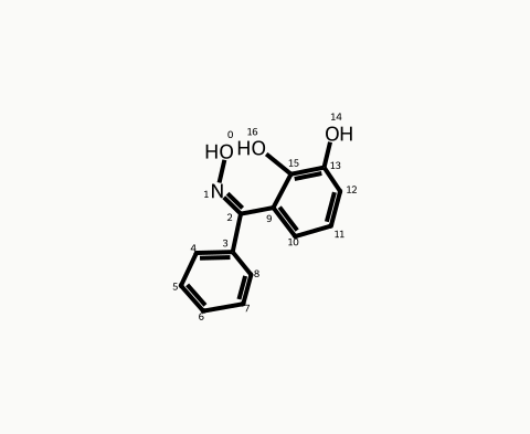 ON=C(c1ccccc1)c1cccc(O)c1O